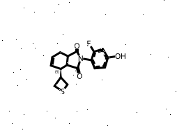 O=C1C2CC=C[C@H](C3CSC3)C2C(=O)N1c1ccc(O)cc1F